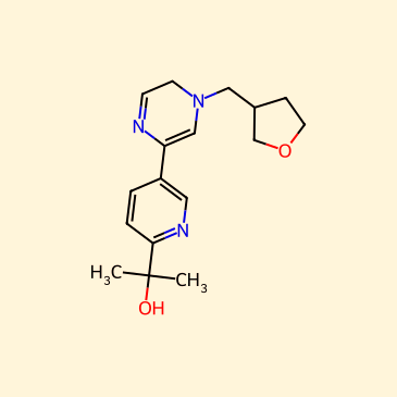 CC(C)(O)c1ccc(C2=CN(CC3CCOC3)CC=N2)cn1